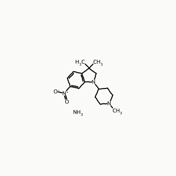 CN1CCC(N2CC(C)(C)c3ccc([N+](=O)[O-])cc32)CC1.N